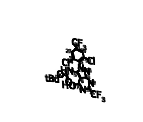 CC(C)(C)OC(=O)Nc1c2c(O)nc(C(F)(F)F)nc2nn1-c1c(Cl)cc(C(F)(F)F)cc1Cl